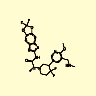 CNCc1cc(C2CN([C@@H](C)C(=O)Nc3nc4cc5c(cc4s3)OC(F)(F)O5)CCC2(F)F)cnc1OC